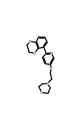 [CH]1COc2cccc(-c3ccc(OCCN4CCOCC4)cn3)c2O1